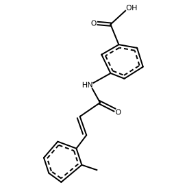 Cc1ccccc1C=CC(=O)Nc1cccc(C(=O)O)c1